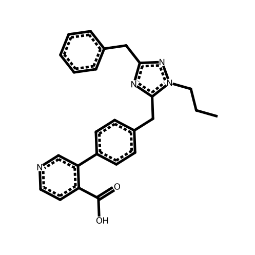 CCCn1nc(Cc2ccccc2)nc1Cc1ccc(-c2cnccc2C(=O)O)cc1